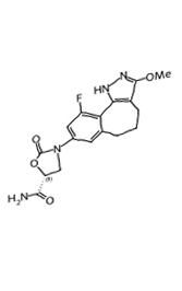 COc1n[nH]c2c1CCCc1cc(N3C[C@H](C(N)=O)OC3=O)cc(F)c1-2